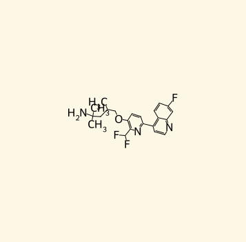 CC(COc1ccc(-c2ccnc3cc(F)ccc23)nc1C(F)F)CC(C)(C)N